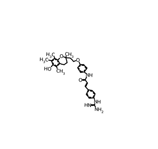 Cc1c(C)c2c(c(C)c1O)CCC(C)(CCOc1ccc(NC(=O)C=Cc3ccc(NC(=N)N)cc3)cc1)O2